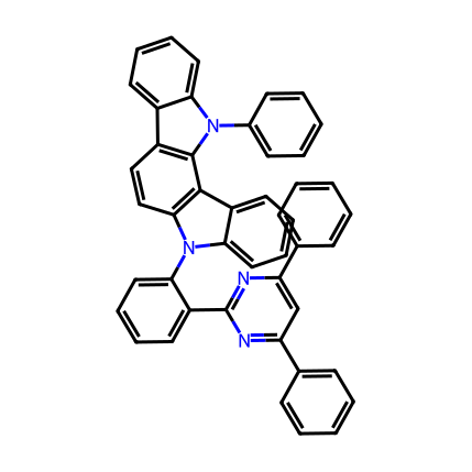 c1ccc(-c2cc(-c3ccccc3)nc(-c3ccccc3-n3c4ccccc4c4c3ccc3c5ccccc5n(-c5ccccc5)c34)n2)cc1